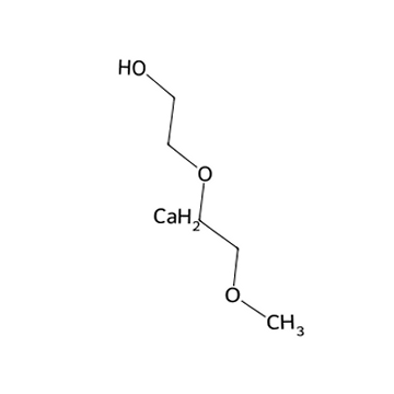 COCCOCCO.[CaH2]